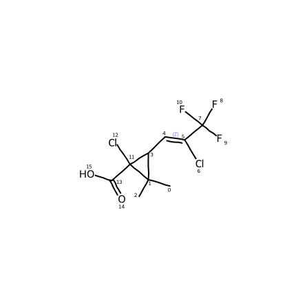 CC1(C)C(/C=C(\Cl)C(F)(F)F)C1(Cl)C(=O)O